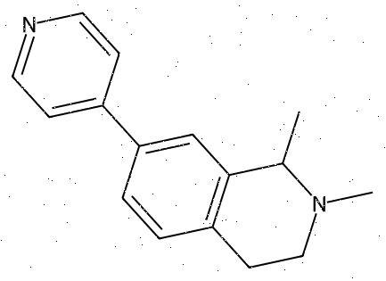 CC1c2cc(-c3ccncc3)ccc2CCN1C